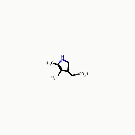 CC1=C(C)C(CC(=O)O)CN1